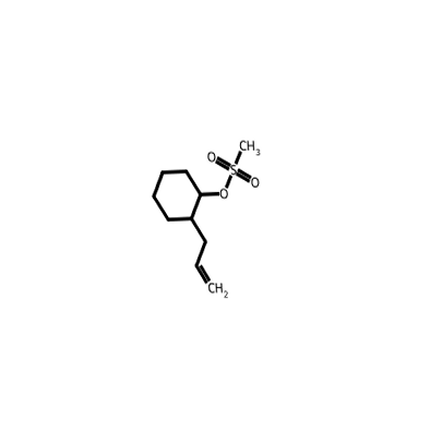 C=CCC1CCCCC1OS(C)(=O)=O